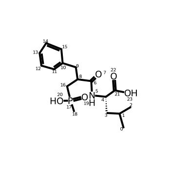 CC(C)C[C@H](NC(=O)C(Cc1ccccc1)CP(C)(=O)O)C(=O)O